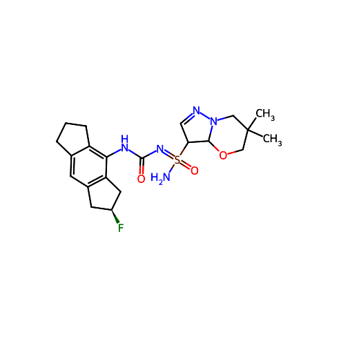 CC1(C)COC2C(S(N)(=O)=NC(=O)Nc3c4c(cc5c3C[C@@H](F)C5)CCC4)C=NN2C1